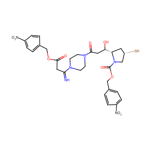 N=C(CC(=O)OCc1ccc([N+](=O)[O-])cc1)N1CCN(C(=O)CC(O)[C@@H]2C[C@H](S)CN2C(=O)OCc2ccc([N+](=O)[O-])cc2)CC1